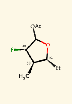 CC[C@@H]1OC(OC(C)=O)[C@H](F)[C@@H]1C